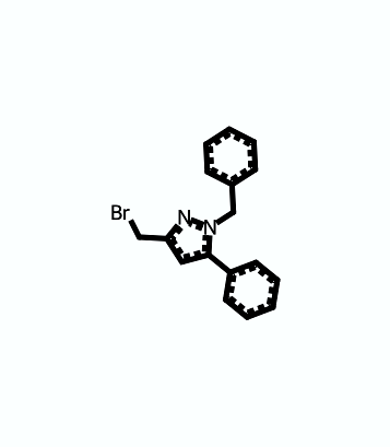 BrCc1cc(-c2ccccc2)n(Cc2ccccc2)n1